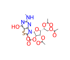 CNc1nc(O)c2sc(=O)n([C@@H]3O[C@H](C(COC(C)=O)OC(C)=O)[C@H](OC(C)=O)[C@H]3OC(C)=O)c2n1